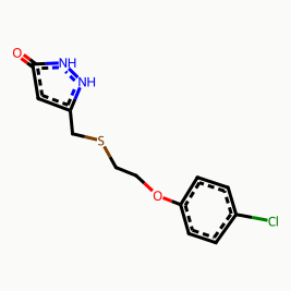 O=c1cc(CSCCOc2ccc(Cl)cc2)[nH][nH]1